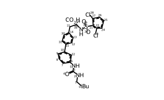 CCC(C)CNC(=O)Nc1cccc(-c2ccc(C[C@@H](NS(=O)(=O)c3c(Cl)cccc3Cl)C(=O)O)cc2)c1